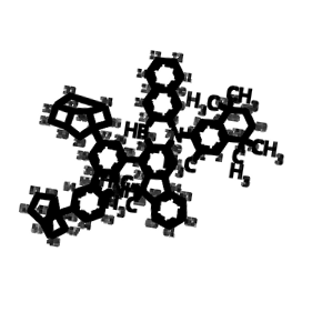 Cc1cc2c(cc1N1c3cc4ccccc4cc3Bc3c1cc1c(c3-c3cc(C45CC6CC7CC(C4)C5C76)cc4c3[nH]c3ccc(C56CC7CC5CCC76)cc34)C(C)(C)c3ccccc3-1)C(C)(C)CCC2(C)C